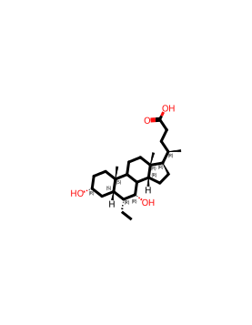 CC[C@H]1[C@@H](O)C2C(CC[C@@]3(C)[C@@H]2CC[C@@H]3[C@H](C)CCC(=O)O)[C@@]2(C)CC[C@@H](O)C[C@@H]12